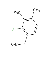 COc1ccc(CC=O)c(Br)c1OC